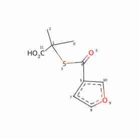 CC(C)(SC(=O)c1ccoc1)C(=O)O